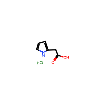 Cl.O=C(O)Cc1ccc[nH]1